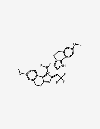 COc1ccc2c(c1)CCC1=C/C(=C(/c3cc4c([nH]3)-c3ccc(OC)cc3CC4)C(F)(F)F)[N+](B(F)F)=C12